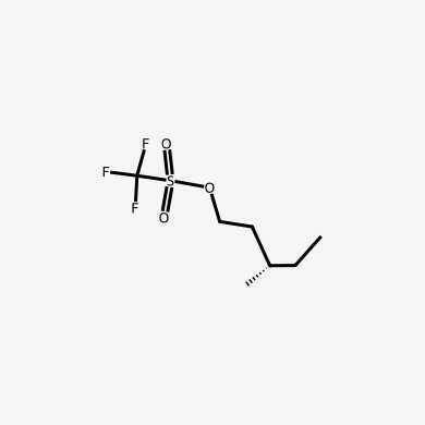 CC[C@H](C)CCOS(=O)(=O)C(F)(F)F